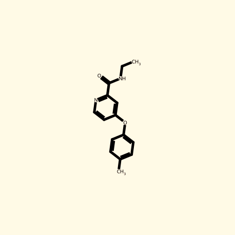 CCNC(=O)c1cc(Oc2ccc(C)cc2)ccn1